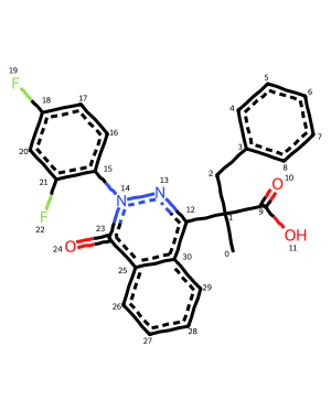 CC(Cc1ccccc1)(C(=O)O)c1nn(-c2ccc(F)cc2F)c(=O)c2ccccc12